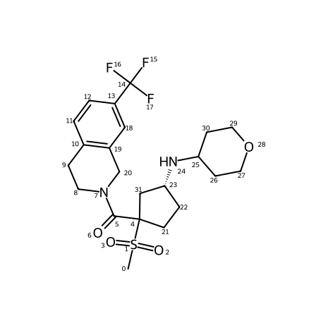 CS(=O)(=O)C1(C(=O)N2CCc3ccc(C(F)(F)F)cc3C2)CC[C@@H](NC2CCOCC2)C1